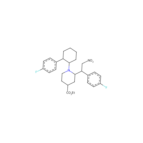 CCOC(=O)C1CCN(C2CCCCC2c2ccc(F)cc2)C(C(C[N+](=O)[O-])c2ccc(F)cc2)C1